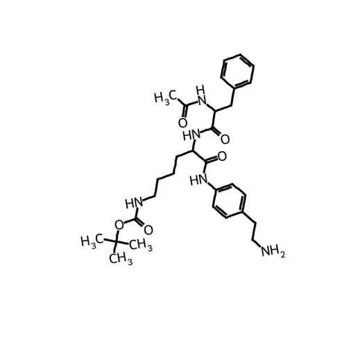 CC(=O)NC(Cc1ccccc1)C(=O)NC(CCCCNC(=O)OC(C)(C)C)C(=O)Nc1ccc(CCN)cc1